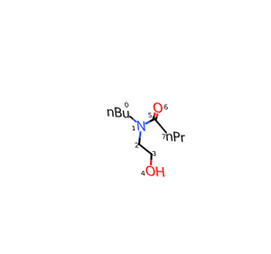 CCCCN(CCO)C(=O)CCC